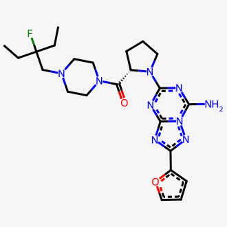 CCC(F)(CC)CN1CCN(C(=O)[C@@H]2CCCN2c2nc(N)n3nc(-c4ccco4)nc3n2)CC1